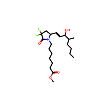 CCCCC(C)C(O)/C=C/C1CC(F)(F)C(=O)N1CCCCCCC(=O)OC